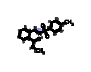 COC(=O)c1ccccc1/C=N/S(=O)(=O)c1ccc(C)cc1